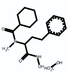 CN(C(=O)C1CCCCC1)C(CCc1ccccc1)C(=O)NO.O=C(O)O